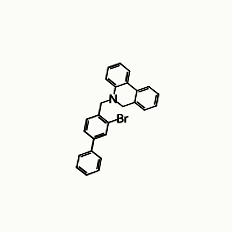 Brc1cc(-c2ccccc2)ccc1CN1Cc2ccccc2-c2ccccc21